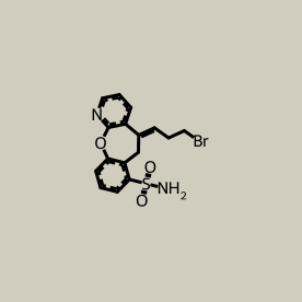 NS(=O)(=O)c1cccc2c1CC(=CCCBr)c1cccnc1O2